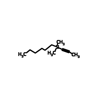 CC#C[Si](C)(C)CCCCCC